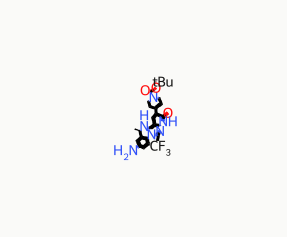 Cc1nc(N[C@H](C)c2cc(N)cc(C(F)(F)F)c2)c2cc(C3=CCN(C(=O)OC(C)(C)C)CC3)c(=O)[nH]c2n1